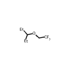 CCC(CC)OCC(F)(F)F